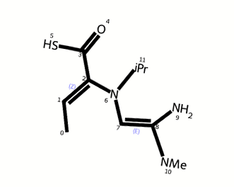 C/C=C(/C(=O)S)N(/C=C(\N)NC)C(C)C